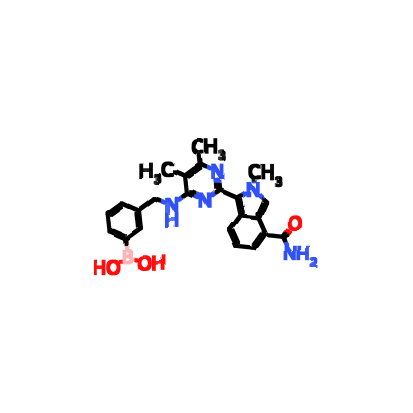 Cc1nc(-c2c3cccc(C(N)=O)c3cn2C)nc(NCc2cccc(B(O)O)c2)c1C